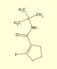 CC(C)(C)NC(=O)C1=C(F)CCC1